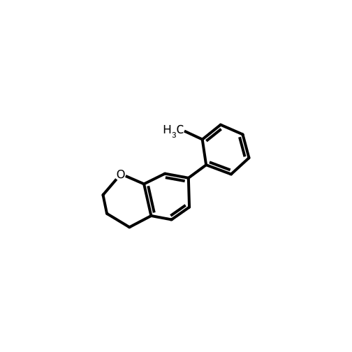 Cc1ccccc1-c1ccc2c(c1)OCCC2